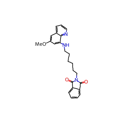 COc1cc(NCCCCCCN2C(=O)c3ccccc3C2=O)c2ncccc2c1